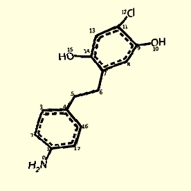 Nc1ccc(CCc2cc(O)c(Cl)cc2O)cc1